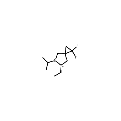 CC[C@@H]1CC2(CN1C(C)C)CC2(F)F